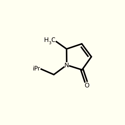 CC(C)CN1C(=O)C=CC1C